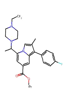 Cc1cn2c(C(C)N3CCN(CC(F)(F)F)CC3)cc(C(=O)OC(C)C)cc2c1-c1ccc(F)cc1